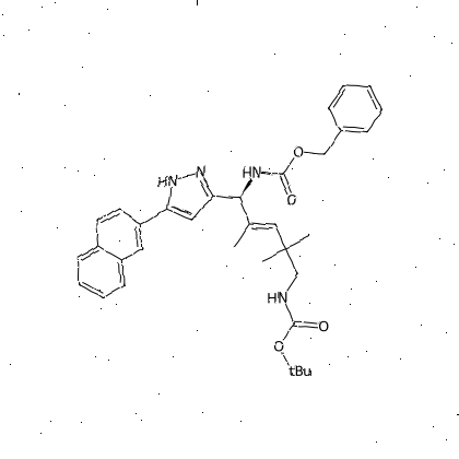 C/C(=C\C(C)(C)CNC(=O)OC(C)(C)C)[C@H](NC(=O)OCc1ccccc1)c1cc(-c2ccc3ccccc3c2)[nH]n1